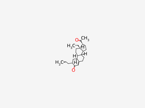 C=CCC1C[C@H]2C(=CC1=O)CC[C@@H]1[C@@H]2CC[C@]2(CC)[C@@H](C(C)=O)CC[C@@H]12